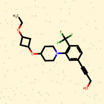 CCOC1CC(OC2CCN(c3cc(C#CCO)ccc3C(F)(F)F)CC2)C1